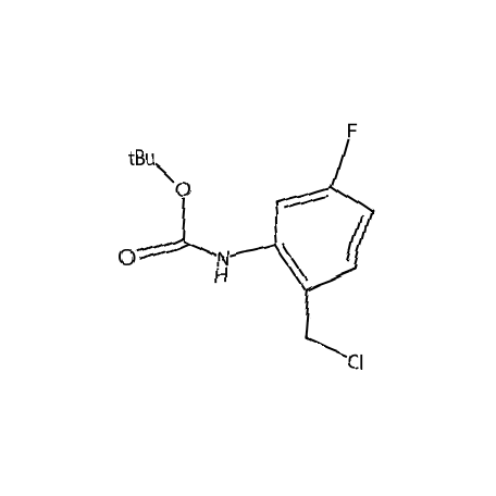 CC(C)(C)OC(=O)Nc1cc(F)ccc1CCl